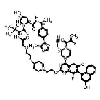 C=C(F)C(=O)N1CCN(c2nc(OCCN3CCC(OCCOCC(=O)N[C@H](C(=O)N4C[C@H](O)C[C@H]4C(=O)N[C@@H](C)c4ccc(-c5scnc5C)cc4)C(C)(C)C)CC3)nc3c(F)c(-c4cc(O)cc5ccccc45)c(Cl)cc23)C[C@@H]1CC#N